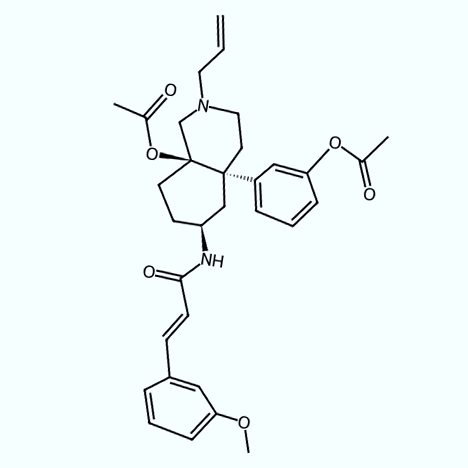 C=CCN1CC[C@@]2(c3cccc(OC(C)=O)c3)C[C@@H](NC(=O)C=Cc3cccc(OC)c3)CC[C@]2(OC(C)=O)C1